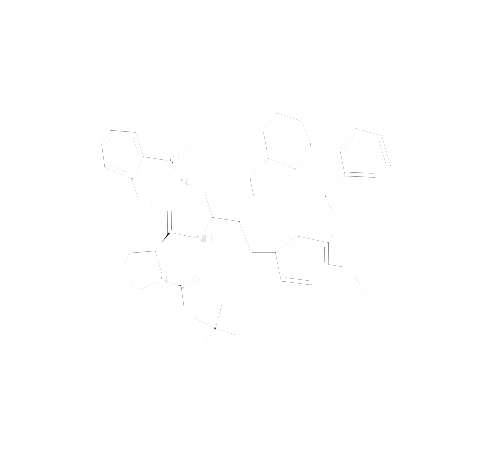 COc1ccc(CC(SCC2CCCCC2)C(CNC(=O)c2ccccc2O)NC(=O)[C@@H]2CSCN2C(=O)OC(C)(C)C)cc1OCc1ccccc1